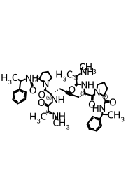 CN[C@@H](C)C(=O)N[C@@H](CC#CC[C@H](NC(=O)[C@H](C)NC)C(=O)N1CCC[C@H]1C(=O)NC(C)c1ccccc1)C(=O)N1CCC[C@H]1C(=O)NC(C)c1ccccc1